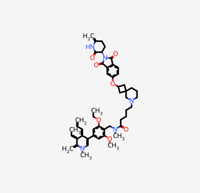 C=C/C=C1/C(c2cc(OC)c(CN(C)C(=O)CCCCN3CCCC4(CC(Oc5ccc6c(c5)C(=O)N([C@@H]5CCC(=C)NC5=O)C6=O)C4)C3)c(OCC)c2)=CN(C)C(=C)/C1=C/C